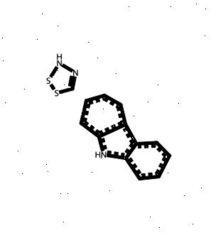 C1=NNSS1.c1ccc2c(c1)[nH]c1ccccc12